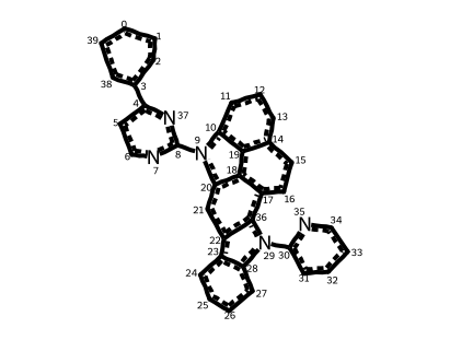 c1ccc(-c2ccnc(-n3c4cccc5ccc6c(c54)c3cc3c4ccccc4n(-c4ccccn4)c36)n2)cc1